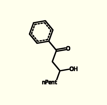 CCCCCC(O)CC(=O)c1ccccc1